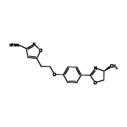 CCCCCCc1cc(CCOc2ccc(C3=N[C@@H](C)CO3)cc2)on1